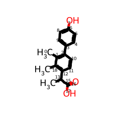 Cc1c(-c2ccc(O)cc2)ccc(C(C)C(=O)O)c1C